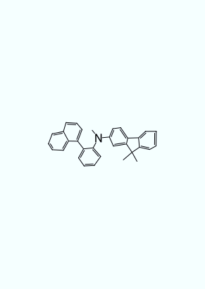 CN(c1ccc2c(c1)C(C)(C)c1ccccc1-2)c1ccccc1-c1cccc2ccccc12